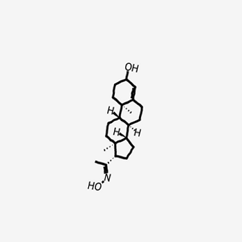 C/C(=N\O)[C@H]1CC[C@H]2[C@@H]3CCC4=CC(O)CC[C@]4(C)[C@H]3CC[C@]12C